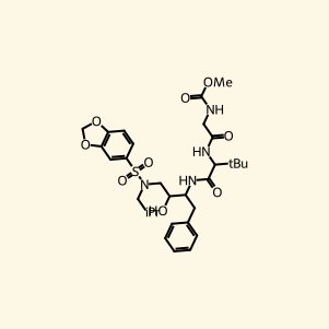 COC(=O)NCC(=O)NC(C(=O)NC(Cc1ccccc1)C(O)CN(CC(C)C)S(=O)(=O)c1ccc2c(c1)OCO2)C(C)(C)C